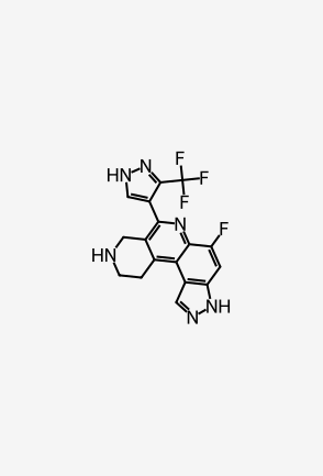 Fc1cc2[nH]ncc2c2c3c(c(-c4c[nH]nc4C(F)(F)F)nc12)CNCC3